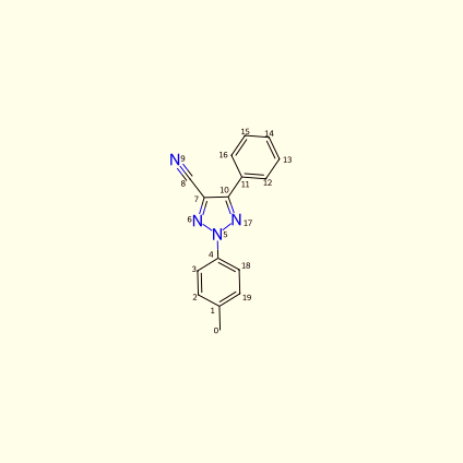 Cc1ccc(-n2nc(C#N)c(-c3ccccc3)n2)cc1